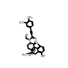 Cc1ccc(C#CC(=O)N(CC(C)C)[C@H]2CC[C@H]3[C@H]4Cc5c(O)ccc6c5[C@@]3(CCN4C)[C@H]2O6)cc1C